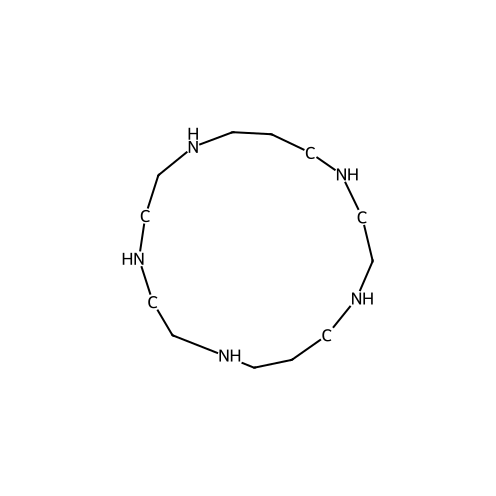 C1CNCCNCCCNCCNCCNC1